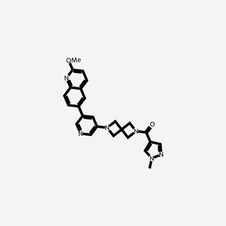 COc1ccc2cc(-c3cncc(N4CC5(CN(C(=O)c6cnn(C)c6)C5)C4)c3)ccc2n1